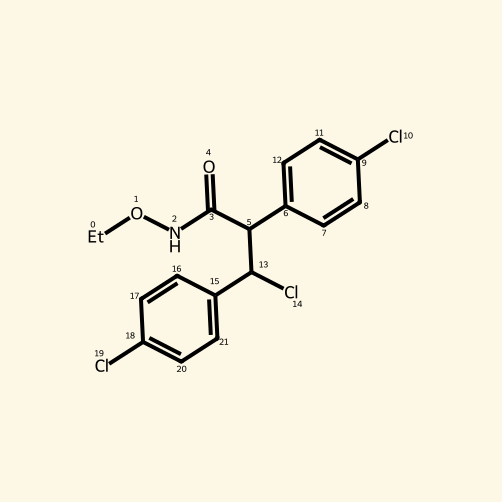 CCONC(=O)C(c1ccc(Cl)cc1)C(Cl)c1ccc(Cl)cc1